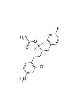 CC(C)(OC(N)=O)C(CCc1ccc(N)cc1Cl)Cc1ccc(F)cc1